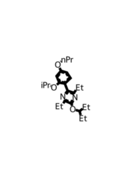 CCCOc1ccc(-c2nc(CC)c(OC(CC)CC)nc2CC)c(OC(C)C)c1